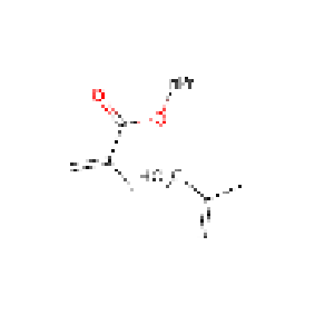 C=C(C)C(=O)O.C=C(C)C(=O)OCCC